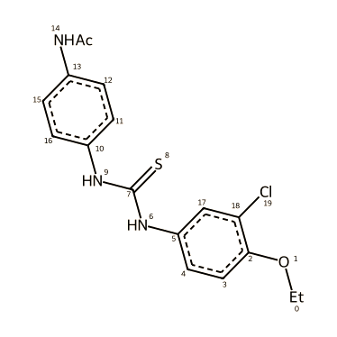 CCOc1ccc(NC(=S)Nc2ccc(NC(C)=O)cc2)cc1Cl